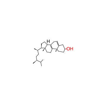 CC(C)[C@@H](C)CC[C@@H](C)[C@H]1CC[C@H]2C3=C(CC[C@]12C)[C@@]1(C)CC[C@H](O)CC1=CC3